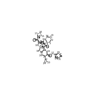 Cc1ccc(S(=O)(=O)n2c(CNC(=O)N3CCC3)cc3cc(C4CC4)c(OCc4cscn4)cc32)cc1